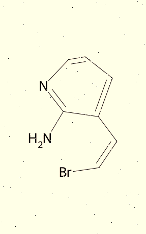 Nc1ncccc1/C=C\Br